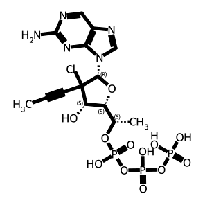 CC#CC1(Cl)[C@@H](O)[C@@H]([C@H](C)OP(=O)(O)OP(=O)(O)OP(=O)(O)O)O[C@H]1n1cnc2cnc(N)nc21